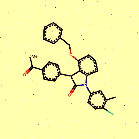 COC(=O)c1ccc(C2C(=O)N(c3ccc(F)c(C)c3)c3cccc(OCc4ccccc4)c32)cc1